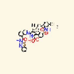 Cc1c(-c2ccc(N3CCc4cccc(C(=O)Nc5nc6ccccc6s5)c4C3)nc2C(=O)O)cccc1S(=O)(=O)NC12CC(C)CC=C1C(C)C2